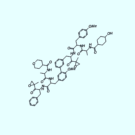 COc1ccc(CC(NC(=O)C(C)NC(=O)C2CCC(O)CC2)C(=O)NC(Cc2cccc(-c3cc(CC(NC(=O)C(C)NC(=O)C4CCOCC4)C(=O)NC(Cc4ccccc4)C(=O)C4(C)CO4)ccc3OC)c2)C(=O)C2(C)CO2)cc1